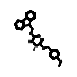 COc1ccc(COC(=O)[C@H](C)NC(=O)OCC2c3ccccc3-c3ccccc32)cc1